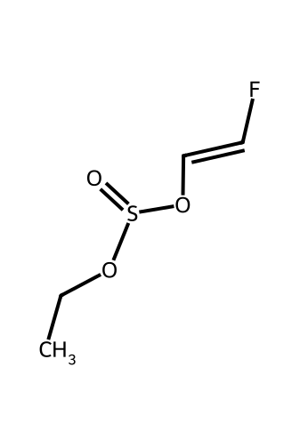 CCOS(=O)OC=CF